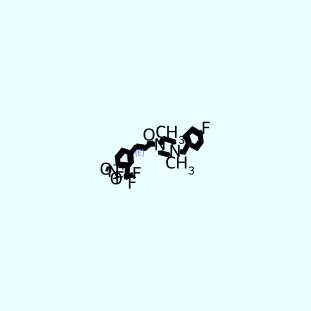 CC1CN(C(=O)/C=C/c2ccc([N+](=O)[O-])c(C(F)(F)F)c2)C(C)CN1Cc1ccc(F)cc1